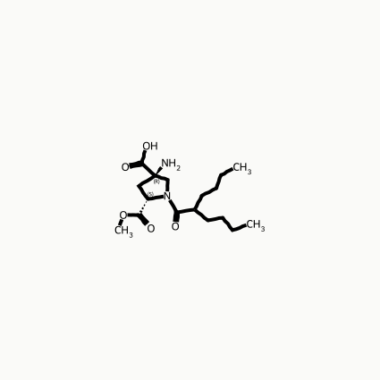 CCCCC(CCCC)C(=O)N1C[C@@](N)(C(=O)O)C[C@H]1C(=O)OC